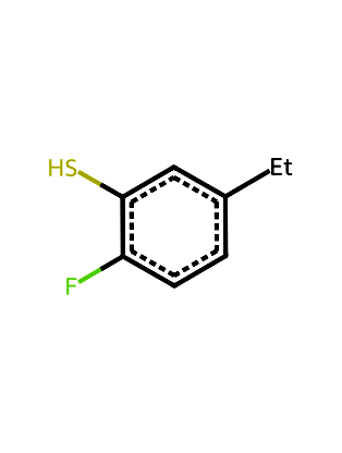 CCc1ccc(F)c(S)c1